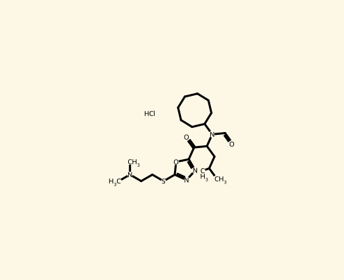 CC(C)CC(C(=O)c1nnc(SCCN(C)C)o1)N(C=O)C1CCCCCCC1.Cl